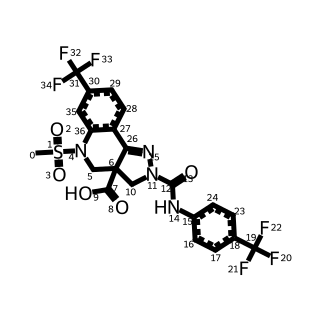 CS(=O)(=O)N1CC2(C(=O)O)CN(C(=O)Nc3ccc(C(F)(F)F)cc3)N=C2c2ccc(C(F)(F)F)cc21